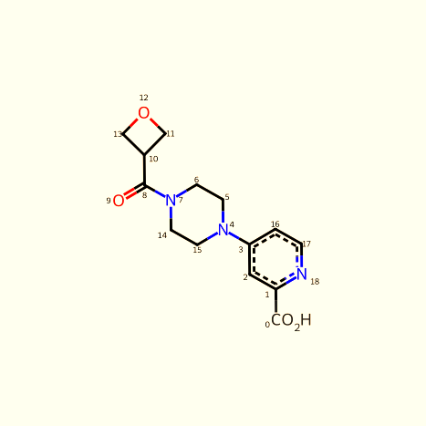 O=C(O)c1cc(N2CCN(C(=O)C3COC3)CC2)ccn1